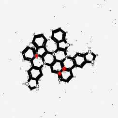 Cc1cc2c3c(c1)N(c1cc4c(cc1-c1ccccc1)OCO4)c1oc4ccccc4c1B3c1c(oc3ccccc13)N2c1cc2c(cc1-c1ccccc1)OCO2